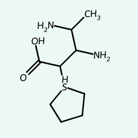 CC(N)C(N)C(C(=O)O)[SH]1CCCC1